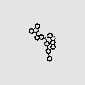 c1ccc(-c2ccc(-c3ccc(N(c4ccc5c(-c6cc7ccccc7c7ccccc67)cccc5c4)c4cccc5sc6cc7ccccc7cc6c45)cc3)cc2)cc1